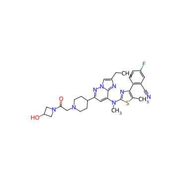 CCc1cn2nc(C3CCN(CC(=O)N4CC(O)C4)CC3)cc(N(C)c3nc(-c4ccc(F)cc4C#N)c(C)s3)c2n1